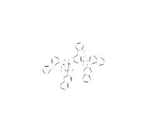 c1ccc2cc(-c3nc(-c4cc(-n5c6cc7ccccc7cc6c6c7ccccc7ccc65)c5sc6ccccc6c5c4)nc(-c4cccc5c4sc4ccccc45)n3)ccc2c1